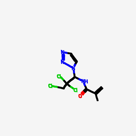 C=C(C)C(=O)NC(n1ccnn1)C(Cl)(Cl)CCl